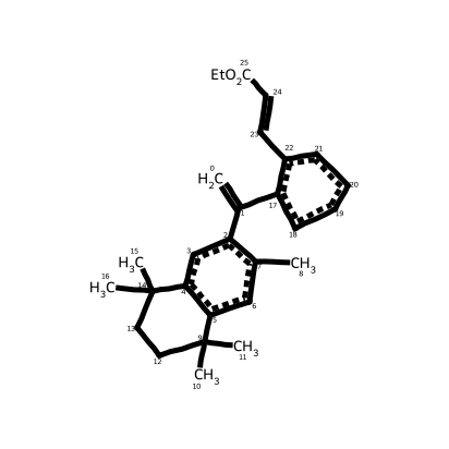 C=C(c1cc2c(cc1C)C(C)(C)CCC2(C)C)c1ccccc1/C=C/C(=O)OCC